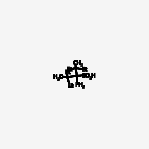 CCC(C)(CC)C(P)(C(C)(CC)CC)S(=O)(=O)O